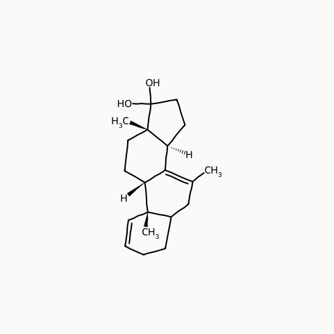 CC1=C2[C@@H](CC[C@@]3(C)[C@H]2CCC3(O)O)[C@@]2(C)C=CCCC2C1